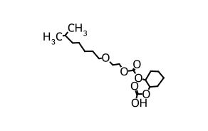 CC(C)CCCCCOCCOC(=O)OC1CCCCC1OC(=O)O